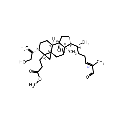 C=C(CO)[C@@H]1CC[C@@H]2[C@]3(CC[C@]4(C)[C@@H]([C@H](C)CC/C=C(\C)C=O)CC[C@@]24C)C[C@]13CCC(=O)OC